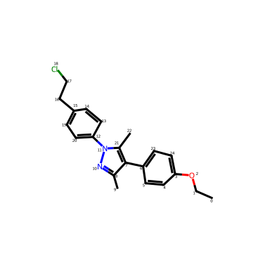 CCOc1ccc(-c2c(C)nn(-c3ccc(CCCl)cc3)c2C)cc1